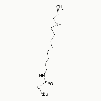 C=CCNCCCCCCCCNC(=O)OC(C)(C)C